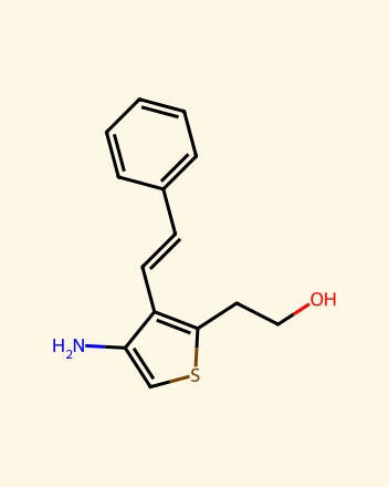 Nc1csc(CCO)c1C=Cc1ccccc1